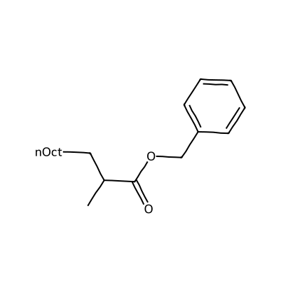 CCCCCCCCCC(C)C(=O)OCc1ccccc1